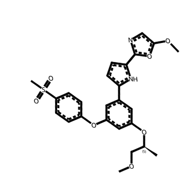 COC[C@H](C)Oc1cc(Oc2ccc(S(C)(=O)=O)cc2)cc(-c2ccc(-c3ncc(OC)o3)[nH]2)c1